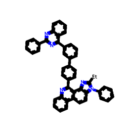 CCc1nc2c3c(-c4ccc(-c5cccc(-c6nc(-c7ccccc7)nc7ccccc67)c5)cc4)nc4ccccc4c3ccc2n1-c1ccccc1